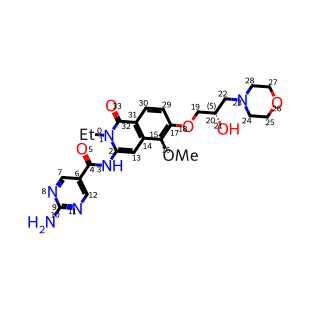 CCn1c(NC(=O)c2cnc(N)nc2)cc2c(OC)c(OC[C@@H](O)CN3CCOCC3)ccc2c1=O